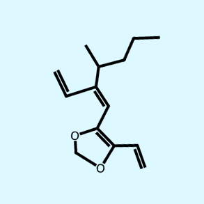 C=CC1=C(/C=C(\C=C)C(C)CCC)OCO1